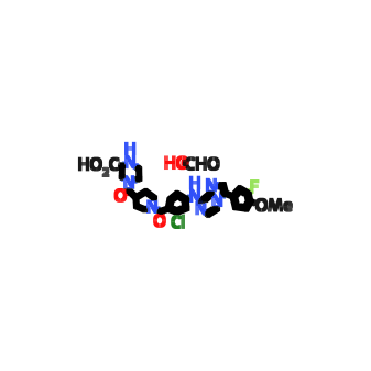 COc1ccc(-c2cnc3c(Nc4ccc(C(=O)N5CCC(C(=O)N6CCNC(C(=O)O)C6)CC5)c(Cl)c4)nccn23)cc1F.O=CO